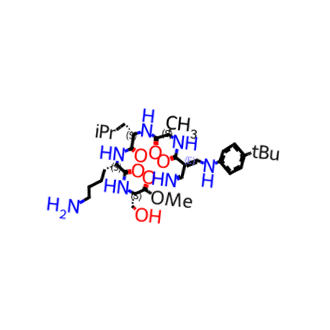 COC(=O)[C@H](CO)NC(=O)[C@H](CCCCN)NC(=O)[C@H](CC(C)C)NC(=O)[C@H](C)NC(=O)/C(C=N)=C/Nc1ccc(C(C)(C)C)cc1